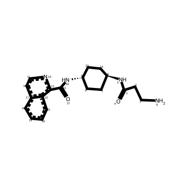 NCCC(=O)N[C@H]1CC[C@H](NC(=O)c2nccc3ccccc23)CC1